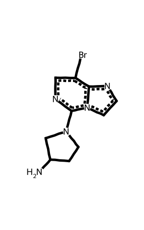 NC1CCN(c2ncc(Br)c3nccn23)C1